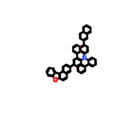 c1ccc(-c2ccccc2N(c2ccc(-c3ccc4ccccc4c3)cc2)c2ccc(-c3ccc4c(ccc5oc6ccccc6c54)c3)cc2-c2ccccc2)cc1